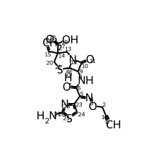 C#CCON=C(C(=O)NC1C(=O)N2CC(C=C)(C(=O)O)CS[C@H]12)c1csc(N)n1